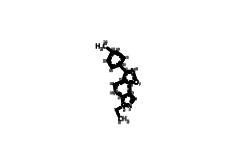 CCn1ncc2c3onc(-c4ccc(C)cc4)c3cnc21